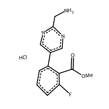 COC(=O)c1c(F)cccc1-c1cnc(CN)nc1.Cl